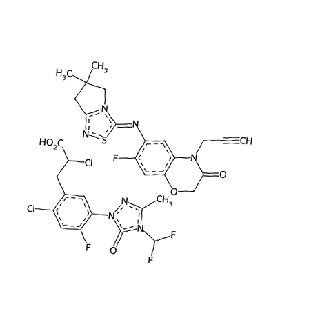 C#CCN1C(=O)COc2cc(F)c(/N=c3\snc4n3CC(C)(C)C4)cc21.Cc1nn(-c2cc(CC(Cl)C(=O)O)c(Cl)cc2F)c(=O)n1C(F)F